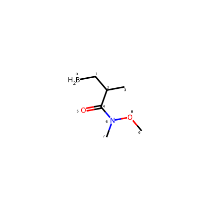 BCC(C)C(=O)N(C)OC